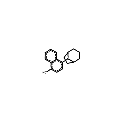 N#Cc1ccc(N2C3CCCC2CC3)c2ccccc12